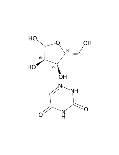 O=c1cn[nH]c(=O)[nH]1.OC[C@H]1OC(O)[C@H](O)[C@@H]1O